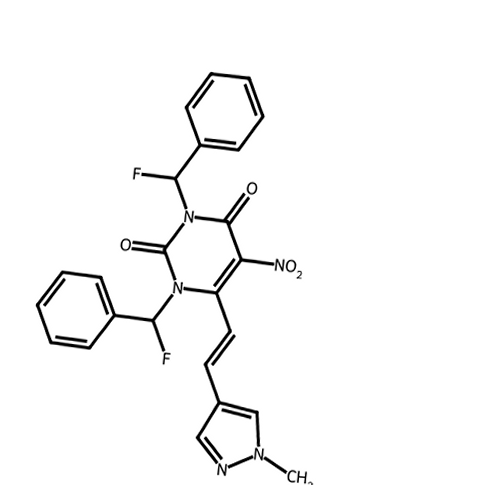 Cn1cc(/C=C/c2c([N+](=O)[O-])c(=O)n(C(F)c3ccccc3)c(=O)n2C(F)c2ccccc2)cn1